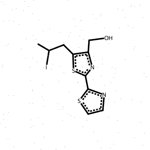 CC(I)Cc1sc(-c2nccs2)nc1CO